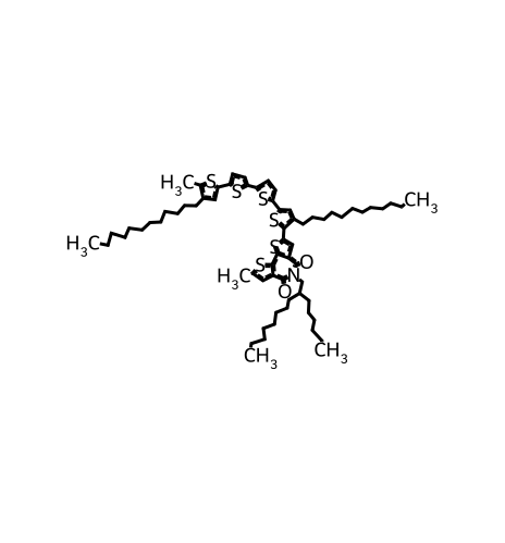 CCCCCCCCCCCCc1cc(-c2ccc(-c3ccc(-c4cc(CCCCCCCCCCCC)c(-c5cc6c(=O)n(CC(CCCCCC)CCCCCCCC)c(=O)c7cc(C)sc7c6s5)s4)s3)s2)sc1C